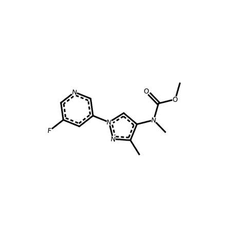 COC(=O)N(C)c1cn(-c2cncc(F)c2)nc1C